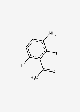 CC(=O)c1c(F)ccc(N)c1F